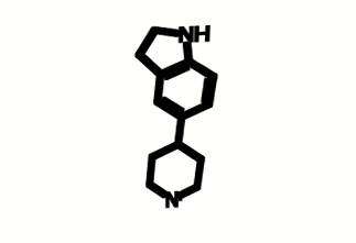 c1cc2c(cc1C1CC[N]CC1)CCN2